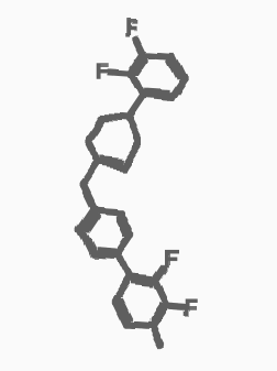 Cc1ccc(-c2ccc(CC3=CCC(c4cccc(F)c4F)CC3)cc2)c(F)c1F